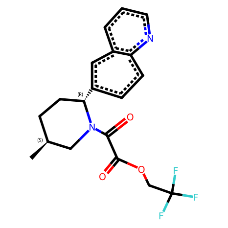 C[C@H]1CC[C@H](c2ccc3ncccc3c2)N(C(=O)C(=O)OCC(F)(F)F)C1